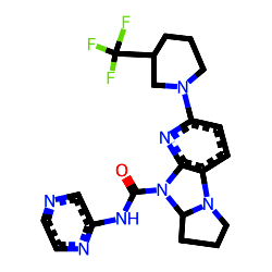 O=C(Nc1cnccn1)N1c2nc(N3CCCC(C(F)(F)F)C3)ccc2N2CCCC21